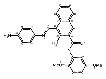 COc1ccc(OC)c(NC(=O)c2cc3ccccc3c(N=Nc3ccc(N)cc3)c2O)c1